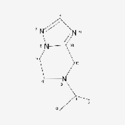 CC(C)N1CCn2ncnc2C1